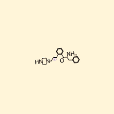 NC(Cc1ccccc1)C(=O)c1ccccc1/C=C/CN1CCNCC1